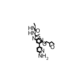 CCNC(=O)Nc1nc2cc(-c3ccc(N)nc3)c(OCC3CCOC3)nc2s1